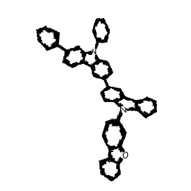 c1ccc(-c2ccc3c4cc(-c5ccc6c(c5)c5ccccc5n6-c5ccc6c(c5)oc5ccccc56)ccc4n(-c4ccccc4)c3c2)cc1